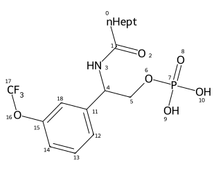 CCCCCCCC(=O)NC(COP(=O)(O)O)c1cccc(OC(F)(F)F)c1